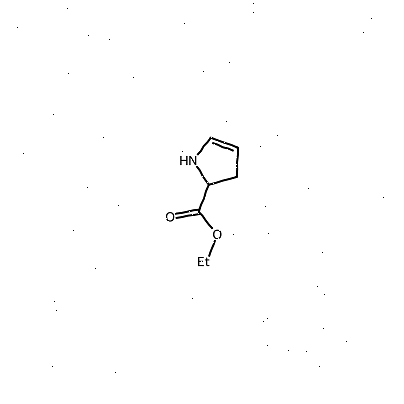 CCOC(=O)C1CC=CN1